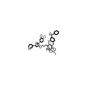 CNC(=O)[C@H](Cc1ccc(C(=O)c2ccccc2)cc1)NC(=O)CCCOc1cc(-c2cccnc2)nn1-c1ccc(Cl)c(Cl)c1